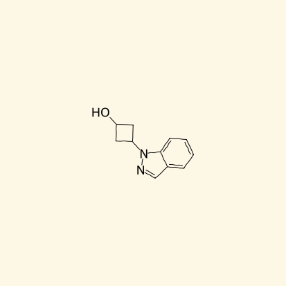 OC1CC(n2ncc3ccccc32)C1